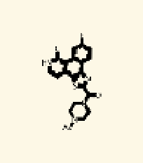 CC(=O)N1CCN(C(=O)c2nc3c4ccc(F)cc4c4c(=O)[nH]ccc4c3s2)CC1